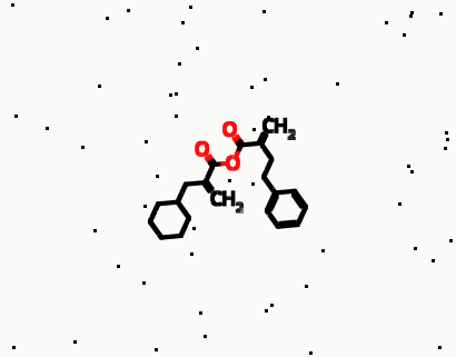 C=C(CCc1ccccc1)C(=O)OC(=O)C(=C)CC1CCCCC1